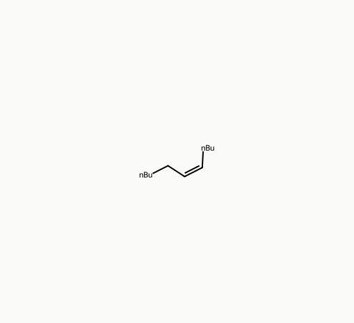 CCCC/C=C\CCCCC